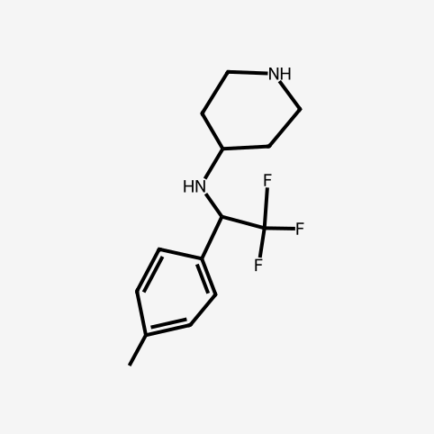 Cc1ccc(C(NC2CCNCC2)C(F)(F)F)cc1